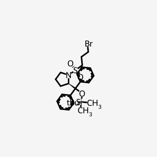 CC(C)(C)[Si](C)(C)OC(c1ccccc1)(c1ccccc1)[C@H]1CCCN1S(=O)(=O)CCCBr